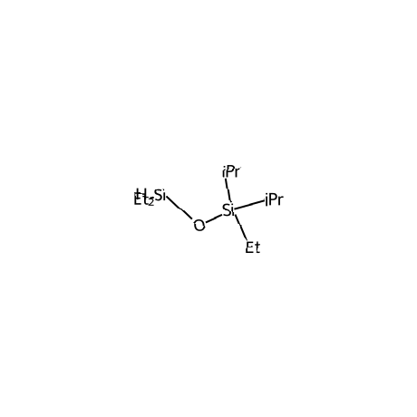 CC[SiH2]O[Si](CC)(C(C)C)C(C)C